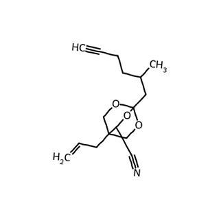 C#CCCC(C)CC12OCC(CC=C)(CO1)C(C#N)O2